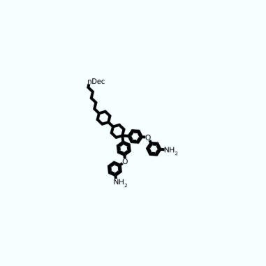 CCCCCCCCCCCCCCCC1CCC(C2CCC(c3ccc(Oc4cccc(N)c4)cc3)(c3ccc(Oc4cccc(N)c4)cc3)CC2)CC1